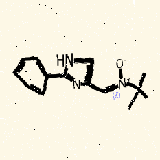 CC(C)(C)/[N+]([O-])=C/c1c[nH]c(-c2ccccc2)n1